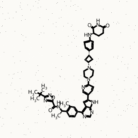 Cc1cc(-c2ncnc3[nH]c(-c4ccc(N5CCN([C@H]6C[C@@H](c7ccc(N[C@@H]8CCC(=O)NC8=O)cc7)C6)CC5)nc4)cc23)ccc1[C@@H](C)NC(=O)c1nc(C(C)(C)C)no1